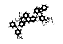 Cc1ccc(N(c2ccccc2)c2ccc3c(c2)C(C)(C)c2cccc4c2c-3cc2ccc(N(c3ccc([Si](C)(C)C)cc3)c3cccc5c3oc3ccccc35)cc24)cc1